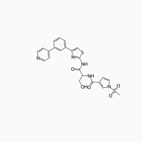 CS(=O)(=O)n1ccc(C(=O)NC(CO)C(=O)Nc2nc(-c3cccc(-c4ccncc4)c3)cs2)c1